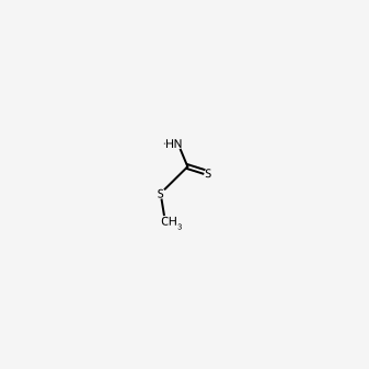 CSC([NH])=S